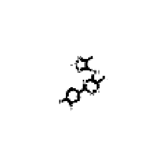 CCc1nnc(-c2ccc(F)c(F)c2)nc1Nc1n[nH]nc1C